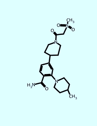 CC1CCN(c2cc(C3CCN(C(=O)CS(C)(=O)=O)CC3)ccc2C(N)=O)CC1